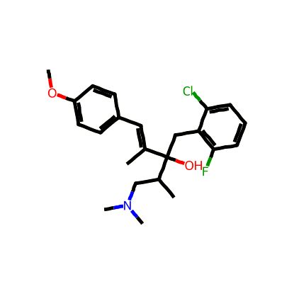 COc1ccc(/C=C(\C)C(O)(Cc2c(F)cccc2Cl)C(C)CN(C)C)cc1